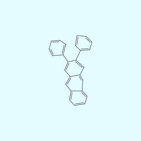 c1ccc(-c2cc3cc4ccccc4cc3cc2-c2ccccc2)cc1